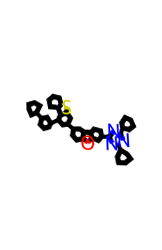 c1ccc(-c2cccc(-c3cc(-c4ccc5oc6cc(-c7nc(-c8ccccc8)nc(-c8ccccc8)n7)ccc6c5c4)cc4sc5ccccc5c34)c2)cc1